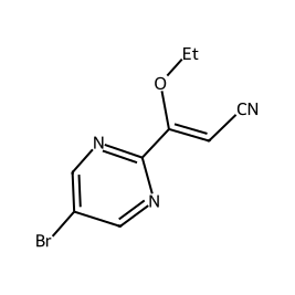 CCOC(=CC#N)c1ncc(Br)cn1